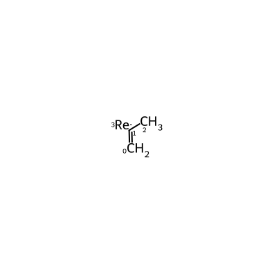 C=CC.[Re]